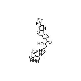 C[C@@H](COC[C@H](O)C(=O)N1CCN2c3ncc(C(F)(F)F)cc3OCC2C1)Nc1cn[nH]c(=O)c1C(F)(F)F